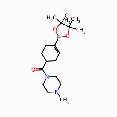 CN1CCN(C(=O)C2CC=C(B3OC(C)(C)C(C)(C)O3)CC2)CC1